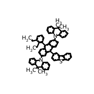 C=Cc1cccc(-c2c3ccc(N4c5ccccc5C(C)(C)c5ccccc54)cc3c(-c3ccc4sc5ccccc5c4c3)c3ccc(N4c5ccccc5C(C)(C)c5ccccc54)cc23)c1C=C